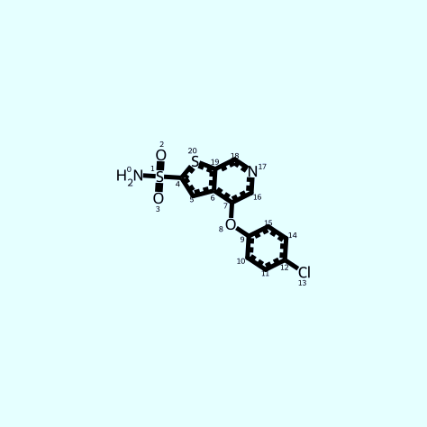 NS(=O)(=O)c1cc2c(Oc3ccc(Cl)cc3)cncc2s1